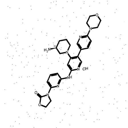 Cl.N[C@H]1CCCN(c2cc(Nc3cccc(N4CCOC4=O)n3)ncc2-c2ccc(N3CCOCC3)nc2)C1